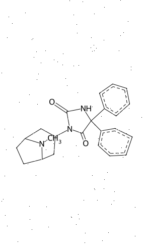 CN1C2CCC1CC(N1C(=O)NC(c3ccccc3)(c3ccccc3)C1=O)C2